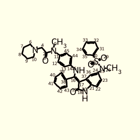 CN(C(=O)CN1CCCCC1)c1ccc(NC(=C2C(=O)Nc3ccc(N(C)S(=O)(=O)c4ccccc4)cc32)c2ccccc2)cc1